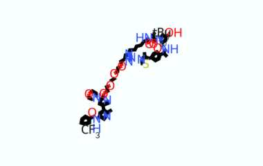 Cc1ncc(NC(=O)c2cccc(C(F)(F)F)c2)cc1-c1cnc(OCCOCCOCCOCc2cn(CCCCCC(=O)NC(C(=O)N3C[C@@H](O)C[C@@H]3C(=O)NC(C)c3ccc(-c4scnc4C)cc3)C(C)(C)C)nn2)c(N2CCOCC2)c1